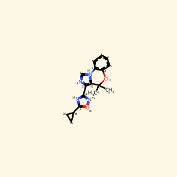 CC1(C)Oc2ccccc2-n2cnc(-c3noc(C4CC4)n3)c21